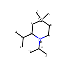 CC(C)C1C[Si](C)(C)CCN1C(C)C